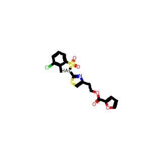 Cc1c(Cl)cccc1S(=O)(=O)[AsH]c1nc(CCOC(=O)c2ccco2)cs1